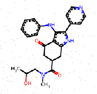 CC(O)CN(C)C(=O)C1CC(=O)c2c([nH]c(-c3ccncc3)c2Nc2ccccc2)C1